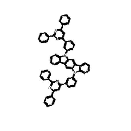 c1ccc(-c2cc(-c3cccc(-n4c5ccccc5c5cc6c(cc54)c4ccccc4n6-c4cccc(-c5cc(-c6ccccc6)nc(-c6ccccc6)n5)c4)c3)nc(-c3ccccc3)n2)cc1